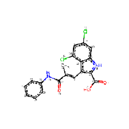 CC(=Cc1c(C(=O)O)[nH]c2cc(Cl)cc(Cl)c12)C(=O)Nc1ccccc1